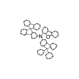 c1ccc(C2(c3ccccc3)c3ccccc3-c3cc(N(c4ccc5c(c4)C4(c6ccccc6-c6ccccc64)c4ccccc4-5)c4cccc5c4oc4ccccc45)ccc32)cc1